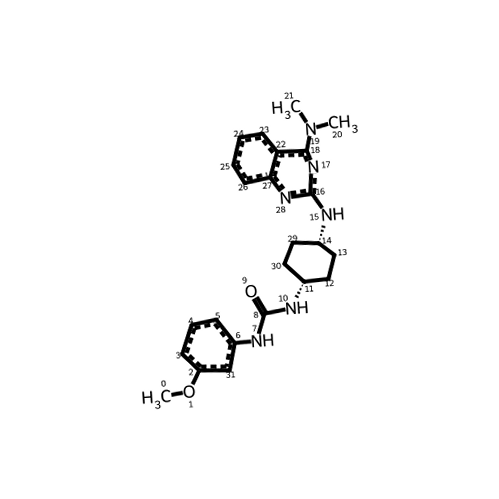 COc1cccc(NC(=O)N[C@H]2CC[C@@H](Nc3nc(N(C)C)c4ccccc4n3)CC2)c1